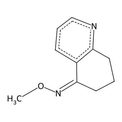 CO/N=C1/CCCc2ncccc21